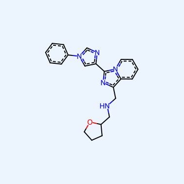 c1ccc(-n2cnc(-c3nc(CNCC4CCCO4)c4ccccn34)c2)cc1